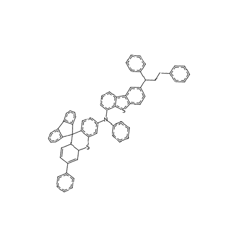 C1=CC2C(C=C1c1ccccc1)Sc1cc(N(c3ccccc3)c3cccc4c3sc3ccc(C(CCc5ccccc5)c5ccccc5)cc34)ccc1C21c2ccccc2-c2ccccc21